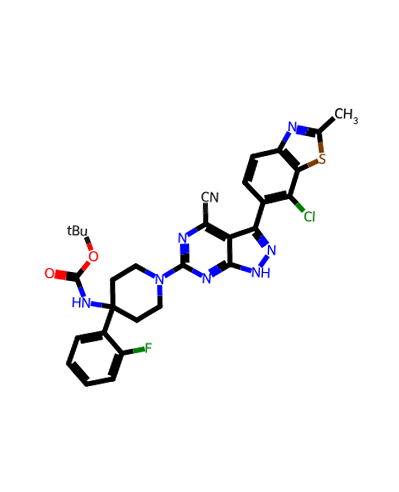 Cc1nc2ccc(-c3n[nH]c4nc(N5CCC(NC(=O)OC(C)(C)C)(c6ccccc6F)CC5)nc(C#N)c34)c(Cl)c2s1